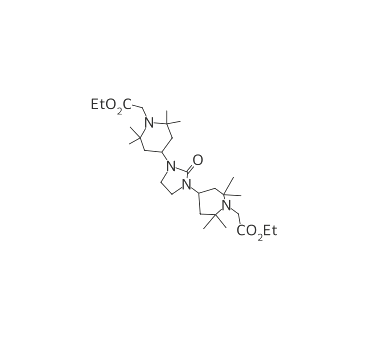 CCOC(=O)CN1C(C)(C)CC(N2CCN(C3CC(C)(C)N(CC(=O)OCC)C(C)(C)C3)C2=O)CC1(C)C